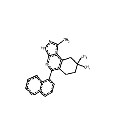 CC1(C)CCc2c(-c3cccc4ccccc34)nc3[nH]nc(N)c3c2C1